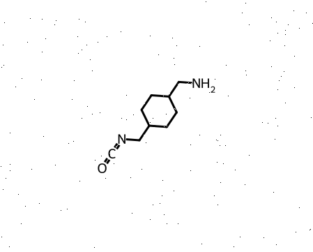 NCC1CCC(CN=C=O)CC1